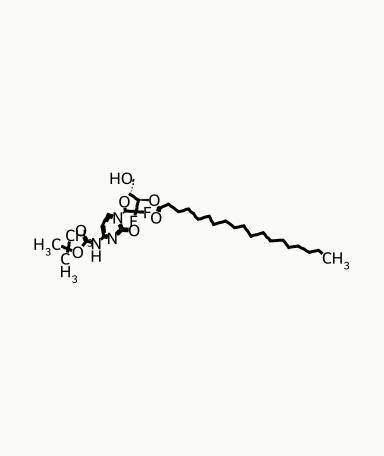 CCCCCCCCCCCCCCCCCCC(=O)O[C@@H]1[C@@H](CO)O[C@@H](n2ccc(NC(=O)OC(C)(C)C)nc2=O)C1(F)F